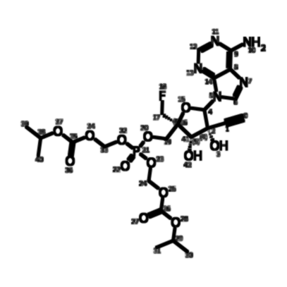 C#C[C@]1(O)C(n2cnc3c(N)ncnc32)O[C@](CF)(COP(=O)(OCOC(=O)OC(C)C)OCOC(=O)OC(C)C)[C@H]1O